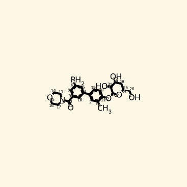 Cc1cc(-c2cc(P)cc(C(=O)N3CCOCC3)c2)ccc1OC1O[C@H](CO)C[C@H](O)[C@@H]1O